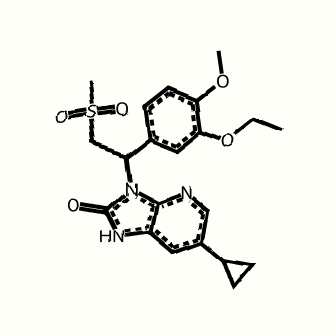 CCOc1cc(C(CS(C)(=O)=O)n2c(=O)[nH]c3cc(C4CC4)cnc32)ccc1OC